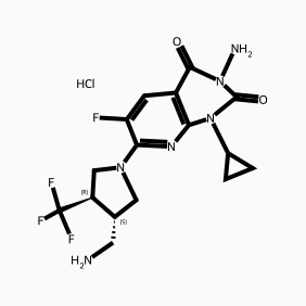 Cl.NC[C@H]1CN(c2nc3c(cc2F)c(=O)n(N)c(=O)n3C2CC2)C[C@@H]1C(F)(F)F